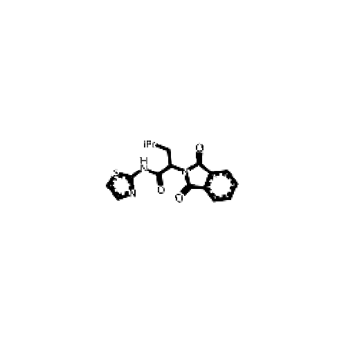 CC(C)CC(C(=O)Nc1nccs1)N1C(=O)c2ccccc2C1=O